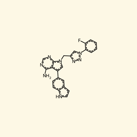 Nc1ncnc2c1c(-c1ccc3[nH]ccc3c1)cn2Cc1cn(-c2ccccc2F)nn1